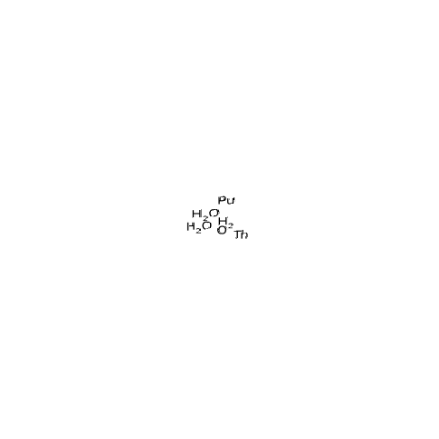 O.O.O.[Pu].[Th]